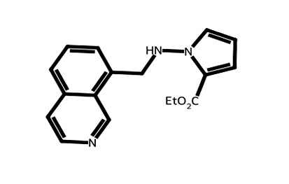 CCOC(=O)c1cccn1NCc1cccc2ccncc12